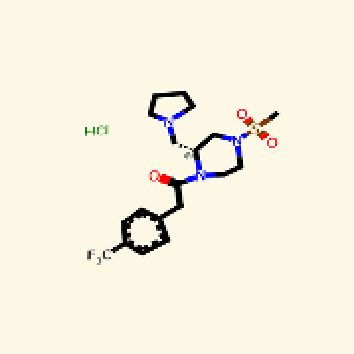 CS(=O)(=O)N1CCN(C(=O)Cc2ccc(C(F)(F)F)cc2)[C@H](CN2CCCC2)C1.Cl